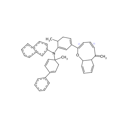 C=C1/C=C\C=C(\C2=CCC(C)C(N(c3ccc4ccccc4c3)C3(C)C=CC(c4ccccc4)=CC3)=C2)OC2C=CC=CC12